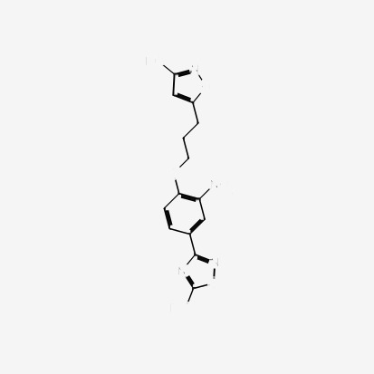 Cc1cc(CCCOc2ccc(-c3noc(C(F)(F)F)n3)cc2[N+](=O)[O-])on1